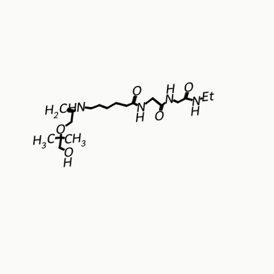 C=C(COC(C)(C)CO)NCCCCCC(=O)NCC(=O)NCC(=O)NCC